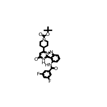 CC(C)(C)OC(=O)N1CCC(c2cc(=O)[nH]c3c4c(NC(=O)c5cc(F)cc(F)c5)cccc4nn23)CC1